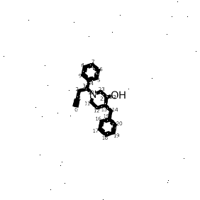 C#CCC(c1ccccc1)N1CCC(Cc2ccccc2)C(O)C1